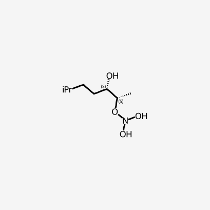 CC(C)CC[C@H](O)[C@H](C)ON(O)O